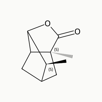 C[C@H]1C2CC3C1OC(=O)[C@@]3(C)C2